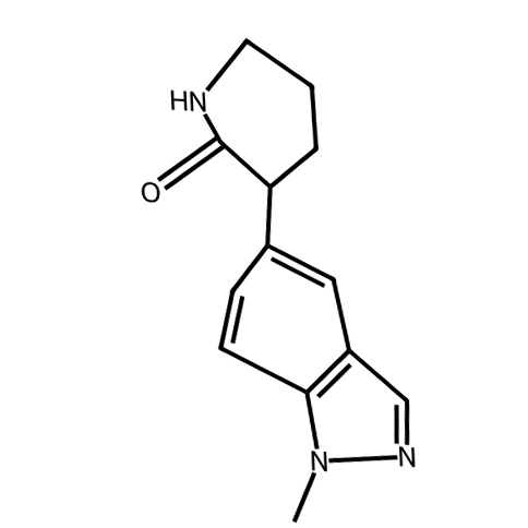 Cn1ncc2cc(C3CCCNC3=O)ccc21